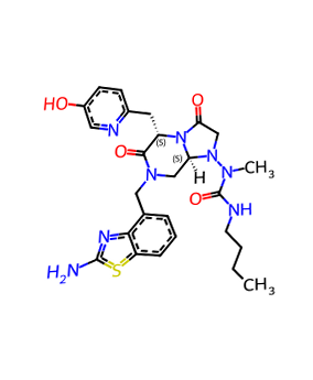 CCCCNC(=O)N(C)N1CC(=O)N2[C@@H](Cc3ccc(O)cn3)C(=O)N(Cc3cccc4sc(N)nc34)C[C@@H]21